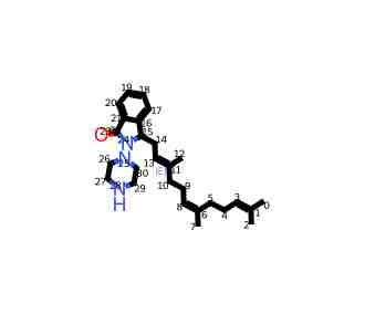 CC(C)=CCCC(C)=CCC/C(C)=C/CC1c2ccccc2C(=O)N1N1CCNCC1